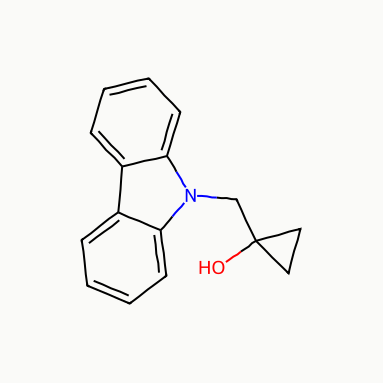 OC1(Cn2c3ccccc3c3ccccc32)CC1